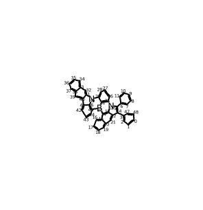 c1ccc(-c2c(-c3ccccc3)n3c4c(c5ccccc5cc24)B2c4c-3cccc4-n3c4cc5ccccc5cc4c4cccc2c43)cc1